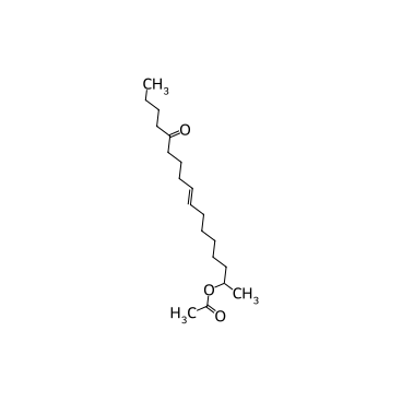 CCCCC(=O)CCC/C=C/CCCCCC(C)OC(C)=O